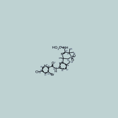 CC1(c2cc(NC(=O)c3ncc(Cl)cc3Br)ccc2F)CS(=O)(=O)C(C)(C)C(NC(=O)O)=N1